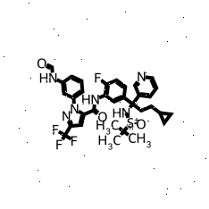 CC(C)(C)[S@@+]([O-])NC(CCC1CC1)(c1cccnc1)c1ccc(F)c(NC(=O)c2cc(C(F)(F)F)nn2-c2cccc(NC=O)c2)c1